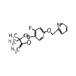 C=C1OB(c2ccc(OCc3ccccn3)cc2F)OC1(C)C